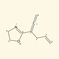 C=C=C(CC=C)C1=NCCO1